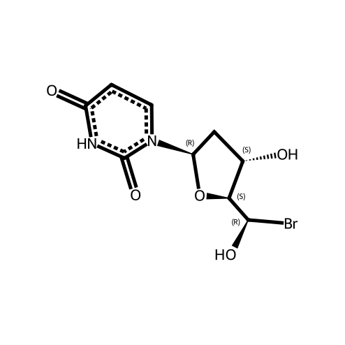 O=c1ccn([C@H]2C[C@H](O)[C@@H]([C@H](O)Br)O2)c(=O)[nH]1